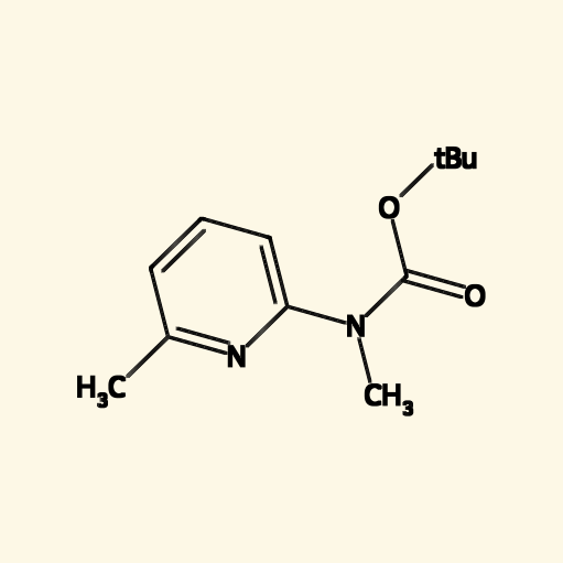 Cc1cccc(N(C)C(=O)OC(C)(C)C)n1